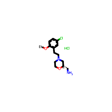 CCOc1ccc(Cl)cc1CCN1CCO[C@@H](CN)C1.Cl